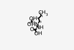 CCCCNNC(=O)O.O=CO